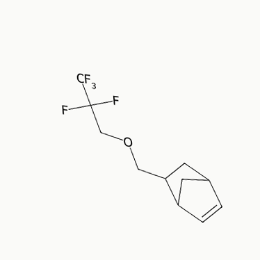 FC(F)(F)C(F)(F)COCC1CC2C=CC1C2